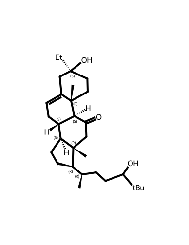 CC[C@]1(O)CC[C@@]2(C)C(=CC[C@H]3[C@@H]4CC[C@H]([C@H](C)CCC(O)C(C)(C)C)[C@@]4(C)CC(=O)[C@@H]32)C1